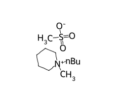 CCCC[N+]1(C)CCCCC1.CS(=O)(=O)[O-]